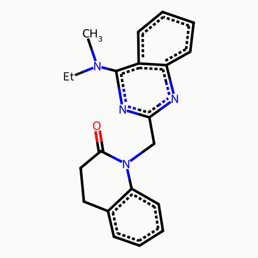 CCN(C)c1nc(CN2C(=O)CCc3ccccc32)nc2ccccc12